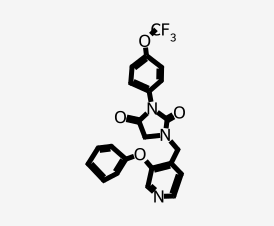 O=C1CN(Cc2ccncc2Oc2ccccc2)C(=O)N1c1ccc(OC(F)(F)F)cc1